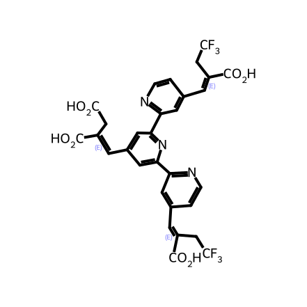 O=C(O)C/C(=C\c1cc(-c2cc(/C=C(\CC(F)(F)F)C(=O)O)ccn2)nc(-c2cc(/C=C(\CC(F)(F)F)C(=O)O)ccn2)c1)C(=O)O